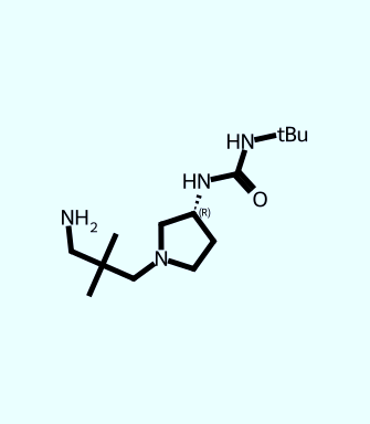 CC(C)(CN)CN1CC[C@@H](NC(=O)NC(C)(C)C)C1